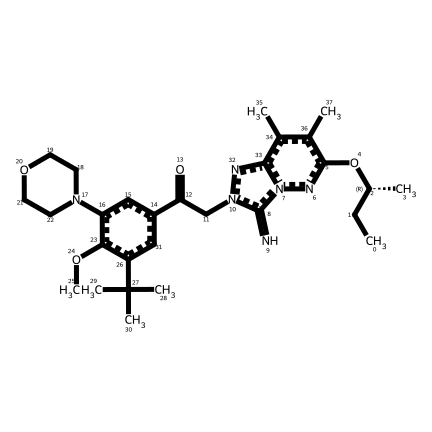 CC[C@@H](C)Oc1nn2c(=N)n(CC(=O)c3cc(N4CCOCC4)c(OC)c(C(C)(C)C)c3)nc2c(C)c1C